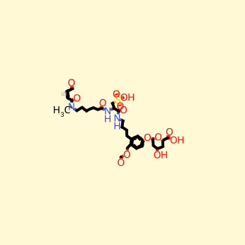 CN(CCCCCC(=O)NC(CS(=O)(=O)O)C(=O)NCCCCc1cc(OC2CC(O)CC(C(=O)O)O2)ccc1COC=O)C(=O)/C=C\C=O